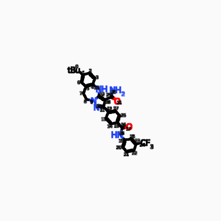 CC(C)(C)c1ccc2c(c1)CCn1nc(-c3ccc(C(=O)Nc4cccc(C(F)(F)F)c4)cc3)c(C(N)=O)c1N2